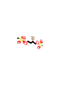 CS(=O)(=O)OCC[C@H](Br)COS(C)(=O)=O